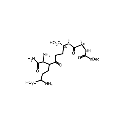 CCCCCCCCCCC(=O)N[C@@H](C)C(=O)N[C@H](CCC(=O)C(CCC(N)C(=O)O)C(N)C(N)=O)C(=O)O